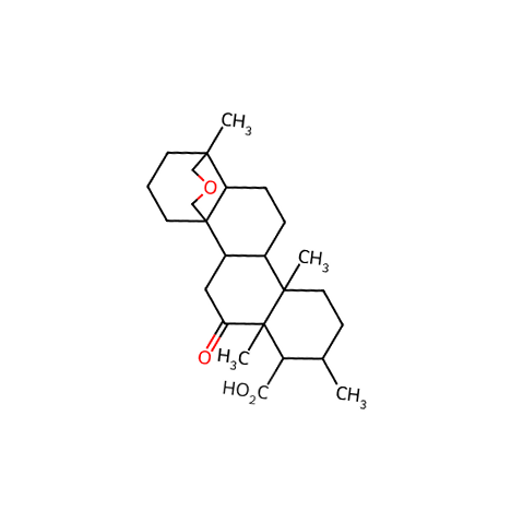 CC1CCC2(C)C3CCC4C5(C)CCCC4(COC5)C3CC(=O)C2(C)C1C(=O)O